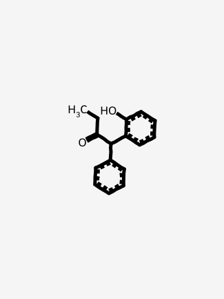 CCC(=O)C(c1ccccc1)c1ccccc1O